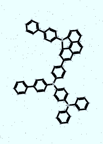 c1ccc(-c2ccc(N(c3ccc(-c4cc5ccc6cccc7c6c5c(c4)n7-c4ccc(-c5ccccc5)cc4)cc3)c3ccc(N(c4ccccc4)c4ccccc4)cc3)cc2)cc1